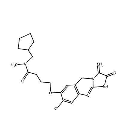 C=c1c(=O)[nH]c2n1Cc1cc(OCCCC(=O)N(C)CC3CCCC3)c(Cl)cc1N=2